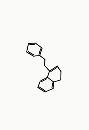 C1=C(CCc2ccccc2)c2ccccc2CC1